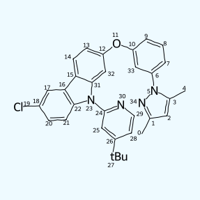 Cc1cc(C)n(-c2cccc(Oc3ccc4c5cc(Cl)ccc5n(-c5cc(C(C)(C)C)ccn5)c4c3)c2)n1